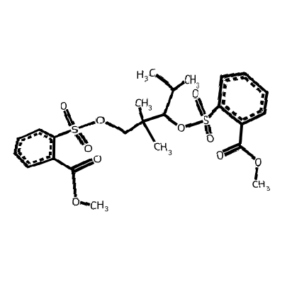 COC(=O)c1ccccc1S(=O)(=O)OCC(C)(C)C(OS(=O)(=O)c1ccccc1C(=O)OC)C(C)C